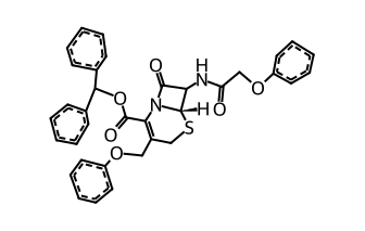 O=C(COc1ccccc1)NC1C(=O)N2C(C(=O)OC(c3ccccc3)c3ccccc3)=C(COc3ccccc3)CS[C@@H]12